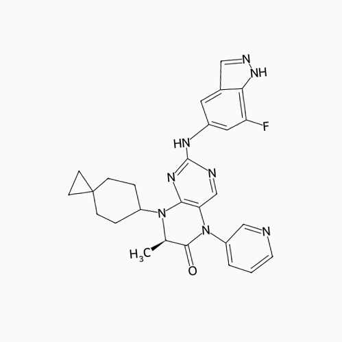 C[C@@H]1C(=O)N(c2cccnc2)c2cnc(Nc3cc(F)c4[nH]ncc4c3)nc2N1C1CCC2(CC1)CC2